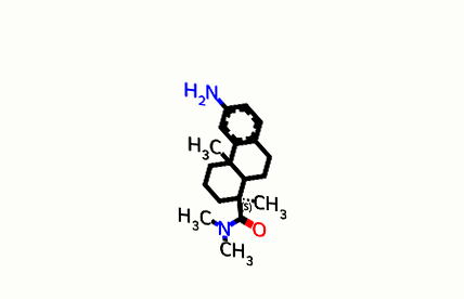 CN(C)C(=O)[C@@]1(C)CCCC2(C)c3cc(N)ccc3CCC21